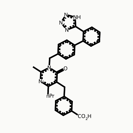 CCCc1nc(C)n(Cc2ccc(-c3ccccc3-c3nnn[nH]3)cc2)c(=O)c1Cc1cccc(C(=O)O)c1